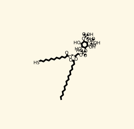 CCCCCCCCCCCCCCCC(=O)O[C@H](COC(=O)CCCCCCCCCCS)COP(=O)(O)OC1C(O)[C@H](O)C(OP(=O)(O)O)[C@H](OP(=O)(O)O)[C@@H]1O